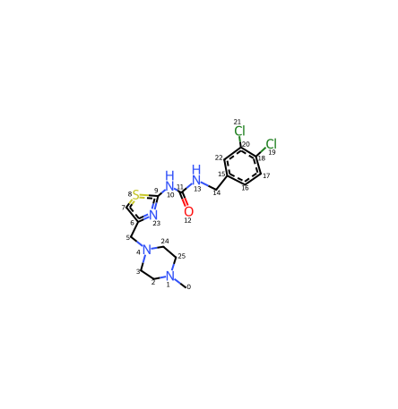 CN1CCN(Cc2csc(NC(=O)NCc3ccc(Cl)c(Cl)c3)n2)CC1